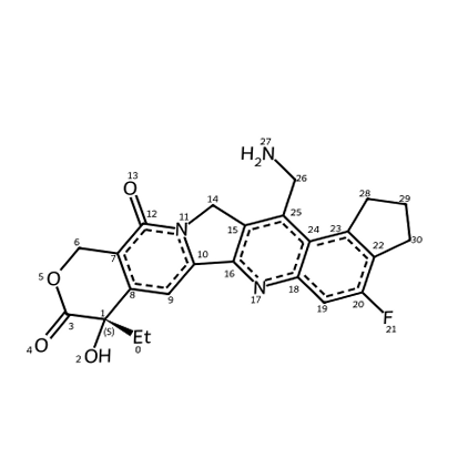 CC[C@@]1(O)C(=O)OCc2c1cc1n(c2=O)Cc2c-1nc1cc(F)c3c(c1c2CN)CCC3